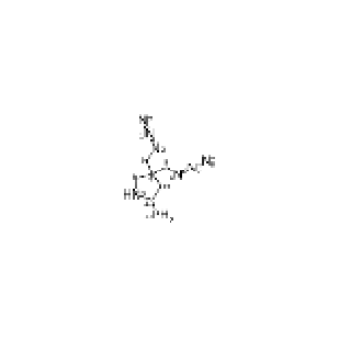 [N-]=[N+]=NCC1(CN=[N+]=[N-])CNC(P)C1